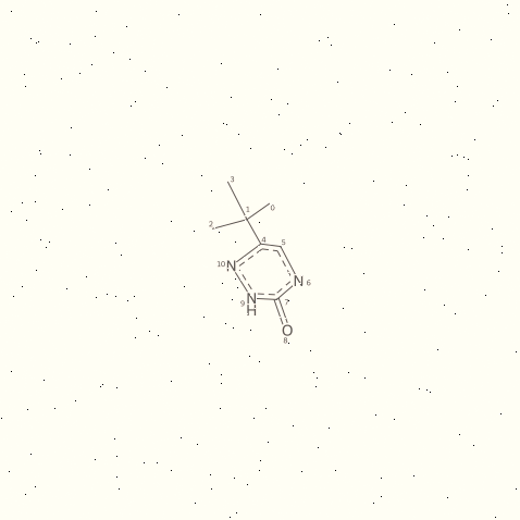 CC(C)(C)c1cnc(=O)[nH]n1